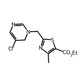 CCOC(=O)c1sc(CN2C=NC=C(Cl)C2)nc1C